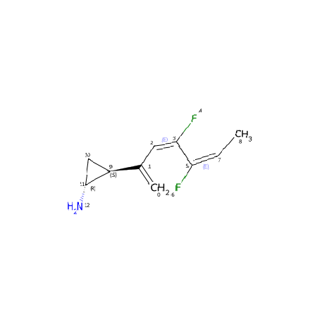 C=C(/C=C(F)\C(F)=C/C)[C@@H]1C[C@H]1N